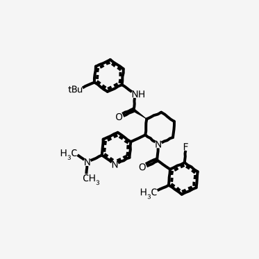 Cc1cccc(F)c1C(=O)N1CCC[C@H](C(=O)Nc2cccc(C(C)(C)C)c2)C1c1ccc(N(C)C)nc1